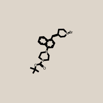 CC(C)(C)OC(=O)N1CCN(c2ccc(C=C3CCN(Br)CC3)c3ccccc23)CC1